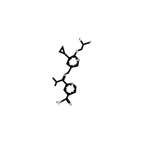 CC(C)C(=NCc1cnc(OCC(F)F)c(C2CC2)c1)c1cc(C(N)=O)ccn1